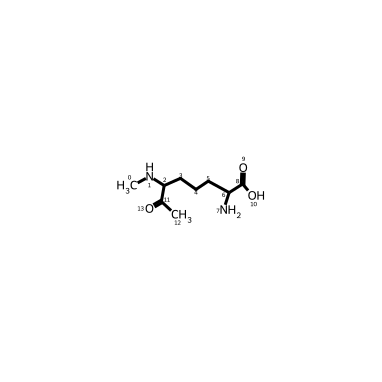 CNC(CCCC(N)C(=O)O)C(C)=O